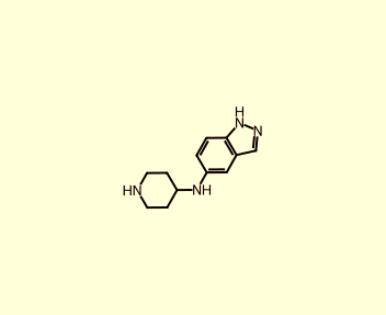 c1cc2[nH]ncc2cc1NC1CCNCC1